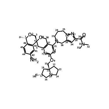 C[C@@H]1OC[C@@]2(Cc3nc(OC[C@@]45CCCN4C[C@H](F)C5)nc(N4CCCn5nc(C(=O)N(C)C)cc5C4)c3CO2)c2cc(N)ccc21